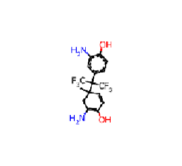 CC1(C(c2ccc(O)c(N)c2)(C(F)(F)F)C(F)(F)F)C=CC(O)=C(N)C1